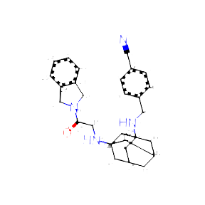 N#Cc1ccc(CNC23CC4CC(CC(NCC(=O)N5Cc6ccccc6C5)(C4)C2)C3)cc1